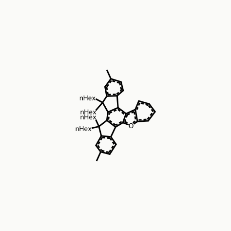 CCCCCCC1(CCCCCC)c2cc(C)ccc2-c2c1c1c(c3c2oc2ccccc23)-c2ccc(C)cc2C1(CCCCCC)CCCCCC